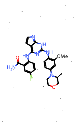 COc1cc(N2CCOC[C@@H]2C)ccc1Nc1nc(Nc2ccc(F)cc2C(N)=O)c2ccnc-2[nH]1